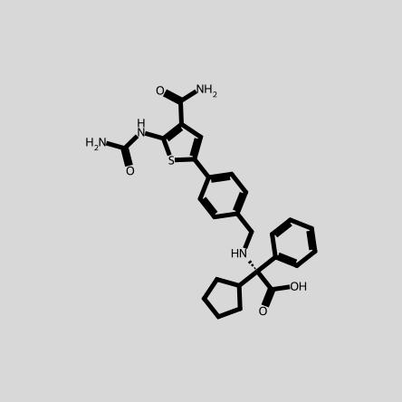 NC(=O)Nc1sc(-c2ccc(CN[C@@](C(=O)O)(c3ccccc3)C3CCCC3)cc2)cc1C(N)=O